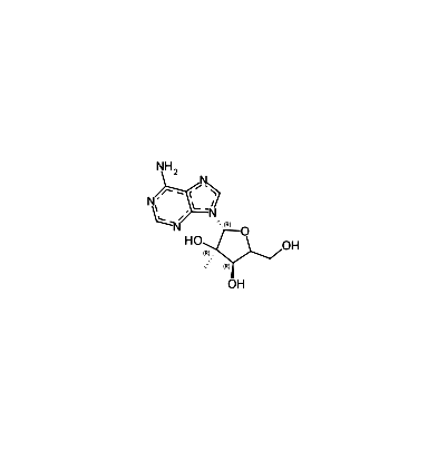 C[C@@]1(O)[C@H](O)C(CO)O[C@H]1n1cnc2c(N)ncnc21